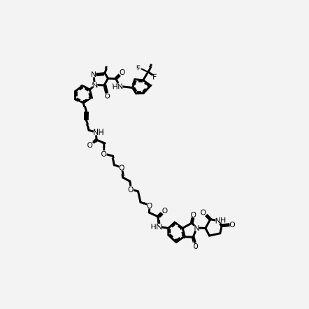 CC1=NN(c2cccc(C#CCNC(=O)COCCOCCOCCOCC(=O)Nc3ccc4c(c3)C(=O)N(C3CCC(=O)NC3=O)C4=O)c2)C(=O)C1C(=O)Nc1cccc(C(C)(F)F)c1